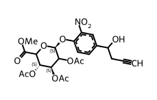 C#CCC(O)c1ccc(O[C@@H]2OC(C(=O)OC)[C@@H](OC(C)=O)[C@H](OC(C)=O)C2OC(C)=O)c([N+](=O)[O-])c1